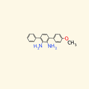 COc1ccc(-c2ccc(-c3ccccc3)c(N)c2N)cc1